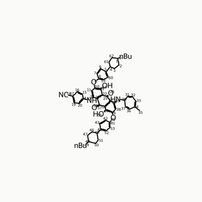 CCCCC1CCC(c2ccc(Oc3cc(Nc4ccc(C#N)cc4)c4c(c3O)C(=O)c3c(NC5C=CC=C(C)C=C5)cc(Oc5ccc(C6CCC(CCCC)CC6)cc5)c(O)c3C4=O)cc2)CC1